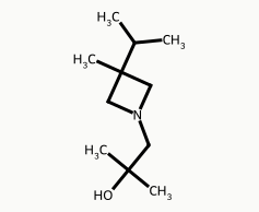 CC(C)C1(C)CN(CC(C)(C)O)C1